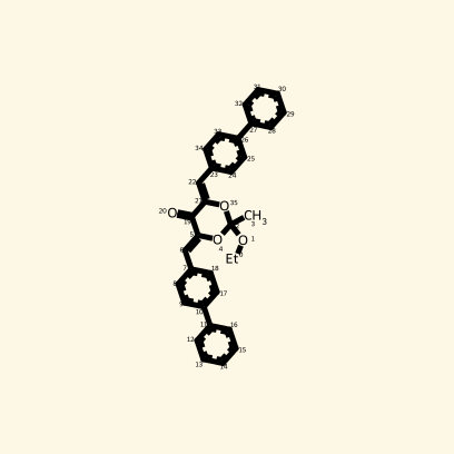 CCOC1(C)O/C(=C\c2ccc(-c3ccccc3)cc2)C(=O)/C(=C/c2ccc(-c3ccccc3)cc2)O1